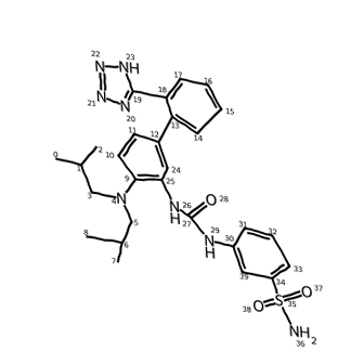 CC(C)CN(CC(C)C)c1ccc(-c2ccccc2-c2nnn[nH]2)cc1NC(=O)Nc1cccc(S(N)(=O)=O)c1